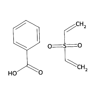 C=CS(=O)(=O)C=C.O=C(O)c1ccccc1